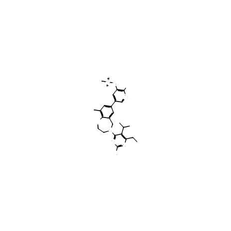 CCc1nc(N)nc(N2CCOc3c(C)cc(-c4cnc(Cl)c(NS(C)(=O)=O)c4)cc3C2)c1C(C)C